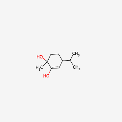 CC(C)C1C=C(O)C(C)(O)CC1